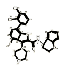 O=C(N[C@H]1CCOc2ccccc21)c1sc2c(-c3cccc(Cl)c3Cl)ccc(F)c2c1N1CCOCC1